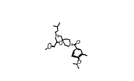 COCC1CN(CCC(C)C)CC2(CCN(C(=O)c3ccc(OC(C)C)c(C)c3)CC2)O1